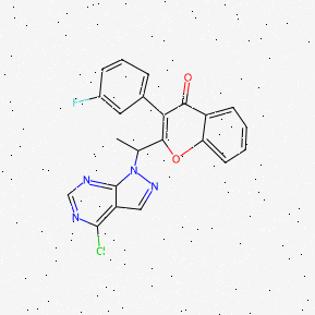 CC(c1oc2ccccc2c(=O)c1-c1cccc(F)c1)n1ncc2c(Cl)ncnc21